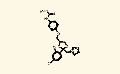 CNC(=S)Nc1ccc(OCC2COC(Cn3ccnc3)(c3ccc(Cl)cc3Cl)O2)cc1